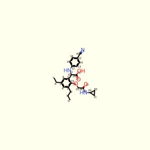 CCCc1cc(CC)cc(C(Nc2ccc(C#N)cc2)C(=O)O)c1OCC(=O)NC1CC1